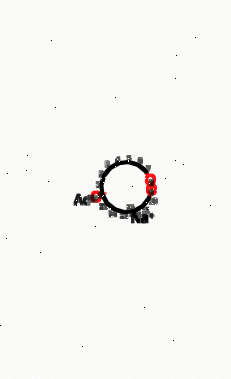 C1CCCCCCCOOCCCCCC1.CC(=O)[O-].[Na+]